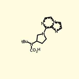 CC(C)(C)N(C(=O)O)C1CCN(c2nccn3ccnc23)C1